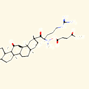 COC(=O)CCC(=O)ON([N+](=O)[O-])[C@@](CCCNC(=N)N)(C(=O)O)C(=O)C1(C)CC[C@]2(C)CC[C@]3(C)C(=CC(=O)C4[C@@]5(C)CCCC(C)(C)C5CC[C@]43C)[C@@H]2C1